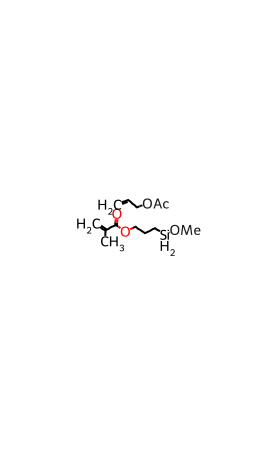 C=C(C)C(=O)OCCC[SiH2]OC.C=CCOC(C)=O